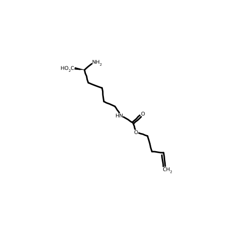 C=CCCOC(=O)NCCCC[C@H](N)C(=O)O